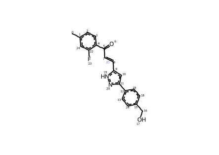 Cc1ccc(C(=O)/C=C/c2cc(-c3ccc(CO)cc3)n[nH]2)c(F)c1